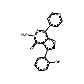 Cn1nc(-c2ccncc2)c2scc(-c3ccccc3O)c2c1=O